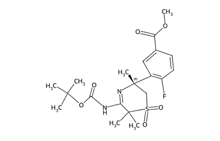 COC(=O)c1ccc(F)c([C@]2(C)CS(=O)(=O)C(C)(C)C(NC(=O)OC(C)(C)C)=N2)c1